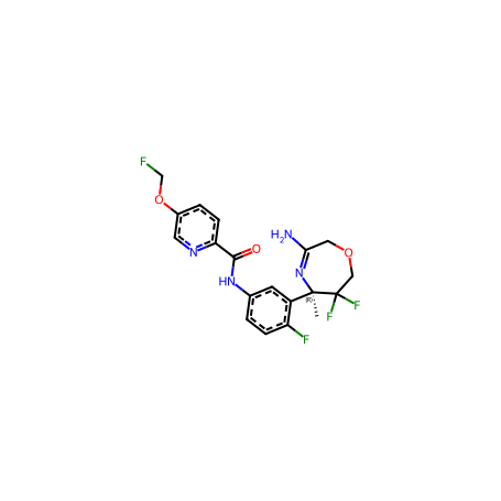 C[C@]1(c2cc(NC(=O)c3ccc(OCF)cn3)ccc2F)N=C(N)COCC1(F)F